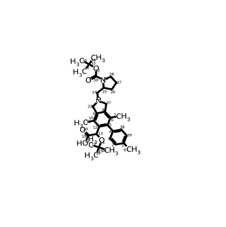 Cc1ccc(-c2c(C)c3c(c(C)c2C(OC(C)(C)C)C(=O)O)CN(CC2CCCN2C(=O)OC(C)(C)C)C3)cc1